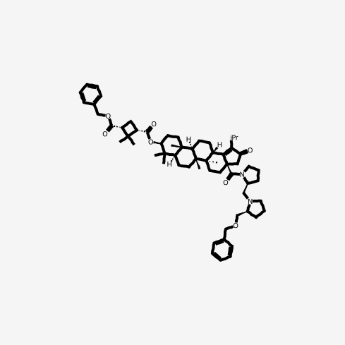 CC(C)C1=C2[C@H]3CC[C@@H]4[C@@]5(C)CC[C@H](OC(=O)[C@H]6C[C@@H](C(=O)OCc7ccccc7)C6(C)C)C(C)(C)[C@@H]5CC[C@@]4(C)[C@]3(C)CC[C@@]2(C(=O)N2CCC[C@H]2CN2CCC[C@H]2COCc2ccccc2)CC1=O